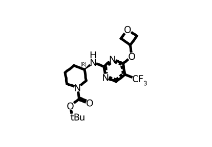 CC(C)(C)OC(=O)N1CCC[C@@H](Nc2ncc(C(F)(F)F)c(OC3COC3)n2)C1